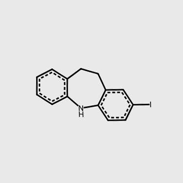 Ic1ccc2c(c1)CCc1ccccc1N2